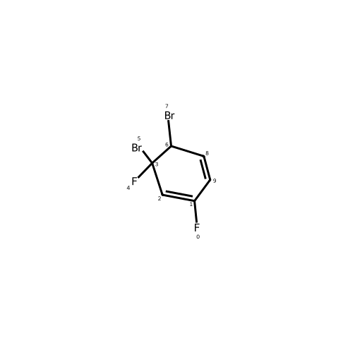 FC1=CC(F)(Br)C(Br)C=C1